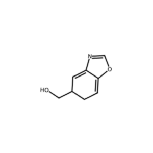 OCC1C=c2ncoc2=CC1